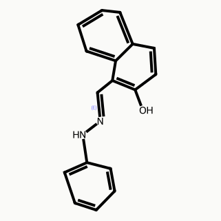 Oc1ccc2ccccc2c1/C=N/Nc1ccccc1